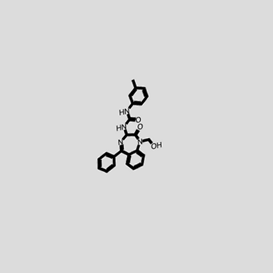 Cc1cccc(NC(=O)NC2N=C(c3ccccc3)c3ccccc3N(CO)C2=O)c1